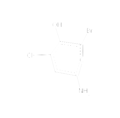 Nc1cc(Cl)c(O)c(Br)c1